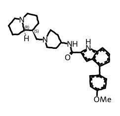 COc1ccc(-c2cccc3[nH]c(C(=O)NC4CCN(C[C@@H]5CCCN6CCCC[C@H]56)CC4)cc23)cc1